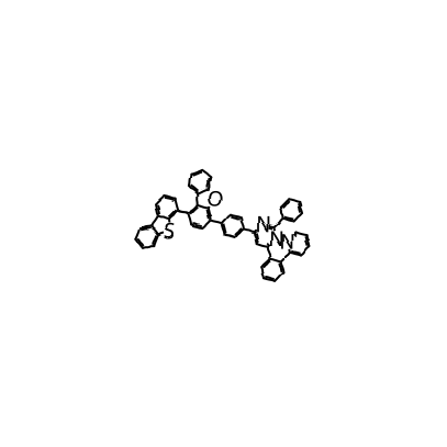 c1ccc(-c2nc(-c3ccc(-c4ccc(-c5cccc6c5sc5ccccc56)c5c4oc4ccccc45)cc3)cc(-c3ccccc3-c3ccccn3)n2)cc1